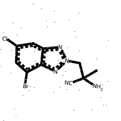 CC(N)(C#N)Cn1nc2cc(Cl)cc(Br)c2n1